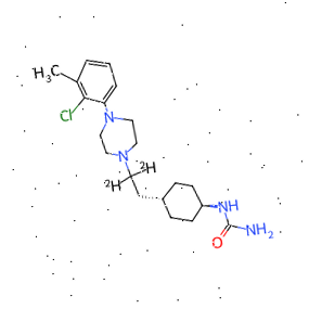 [2H]C([2H])(C[C@H]1CC[C@H](NC(N)=O)CC1)N1CCN(c2cccc(C)c2Cl)CC1